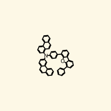 c1ccc(-c2cccc3c2oc2c(-c4ccc(N(c5ccc6ccc7ccccc7c6c5)c5cccc6c5ccc5ccccc56)cc4)cccc23)cc1